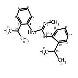 CN=C(Nc1ccccc1C(C)C)Nc1ccccc1C(C)C